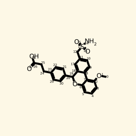 COc1cccc2c1-c1ccc(CS(N)(=O)=O)cc1C(c1ccc(CCC(=O)O)cc1)O2